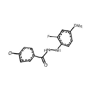 COc1ccc(NNC(=O)c2ccc(Cl)cc2)c(F)c1